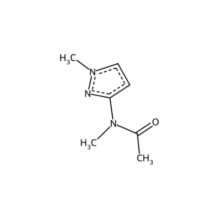 CC(=O)N(C)c1ccn(C)n1